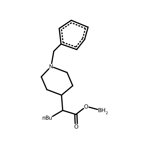 BOC(=O)C(CCCC)C1CCN(Cc2ccccc2)CC1